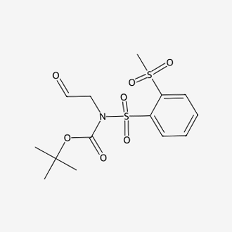 CC(C)(C)OC(=O)N(CC=O)S(=O)(=O)c1ccccc1S(C)(=O)=O